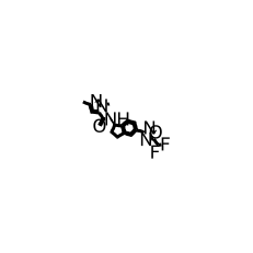 Cc1cc(C(=O)N[C@@H]2CCc3cc(-c4noc(C(F)F)n4)ccc32)n(C)n1